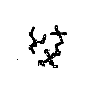 CO[SiH](OC)OC.C[N+](C)(C)CCOP(=O)([O-])O